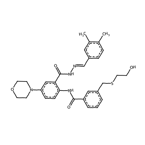 Cc1ccc(C=NNC(=O)c2cc(N3CCOCC3)ccc2NC(=O)c2cccc(CSCCO)c2)cc1C